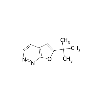 CC(C)(C)c1cc2ccnnc2o1